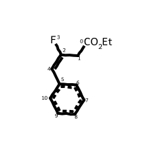 CCOC(=O)C/C(F)=C\c1ccccc1